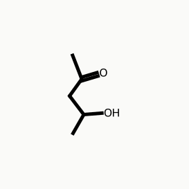 CC(=O)CC(C)O